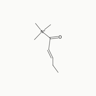 CCC=CC(=O)[N+](C)(C)C